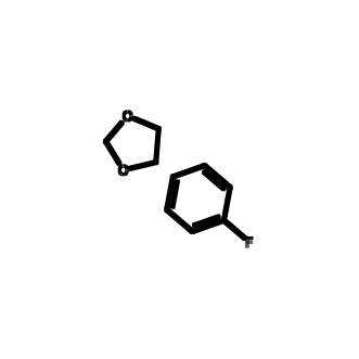 C1COCO1.Fc1ccccc1